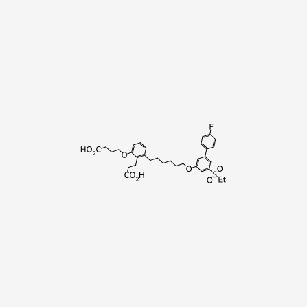 CCS(=O)(=O)c1cc(OCCCCCCc2cccc(OCCCC(=O)O)c2CCC(=O)O)cc(-c2ccc(F)cc2)c1